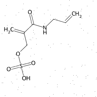 C=CCNC(=O)C(=C)COS(=O)(=O)O